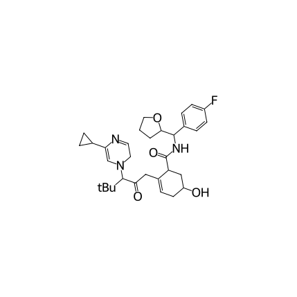 CC(C)(C)C(C(=O)CC1=CCC(O)CC1C(=O)NC(c1ccc(F)cc1)C1CCCO1)N1C=C(C2CC2)N=CC1